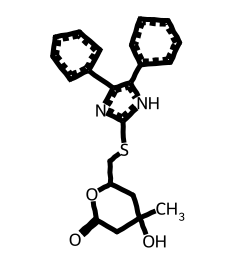 CC1(O)CC(=O)OC(CSc2nc(-c3ccccc3)c(-c3ccccc3)[nH]2)C1